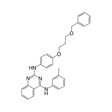 Cc1cccc(Nc2nc(Nc3ccc(OCCCOCc4ccccc4)cc3)nc3ccccc23)c1